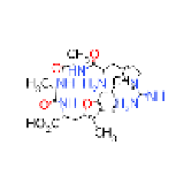 Cc1ccc2c(C)c(CC(NC(=O)C(C)NC(=O)C(C)NC(=O)C(N)CC3=CCN(C(=N)N)C3)C(=O)O)oc2c1